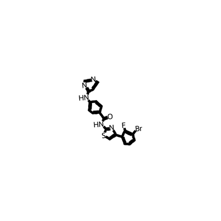 O=C(Nc1nc(-c2cccc(Br)c2F)cs1)c1ccc(Nc2ccncn2)cc1